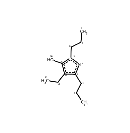 CCCc1nn(CCC)c(O)c1CC